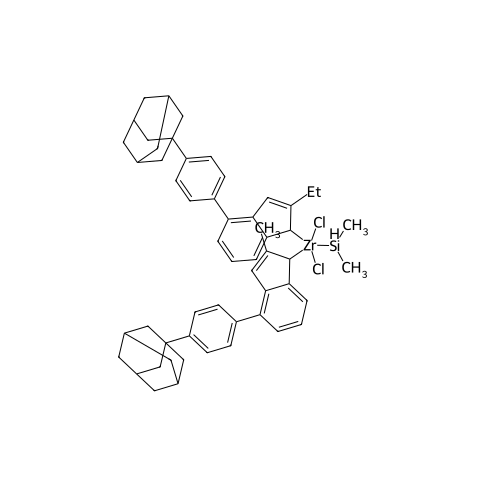 CCC1=Cc2c(-c3ccc(C45CC6CC(CC(C6)C4)C5)cc3)cccc2[CH]1[Zr]([Cl])([Cl])([CH]1C(C)=Cc2c(-c3ccc(C45CC6CC(CC(C6)C4)C5)cc3)cccc21)[SiH](C)C